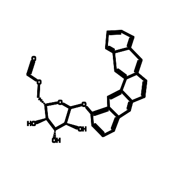 O=COC[C@@H]1OC(Oc2cccc3cc4ccc5cc6ccccc6cc5c4cc23)[C@@H](O)[C@H](O)[C@H]1O